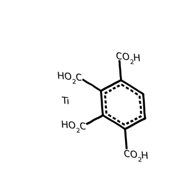 O=C(O)c1ccc(C(=O)O)c(C(=O)O)c1C(=O)O.[Ti]